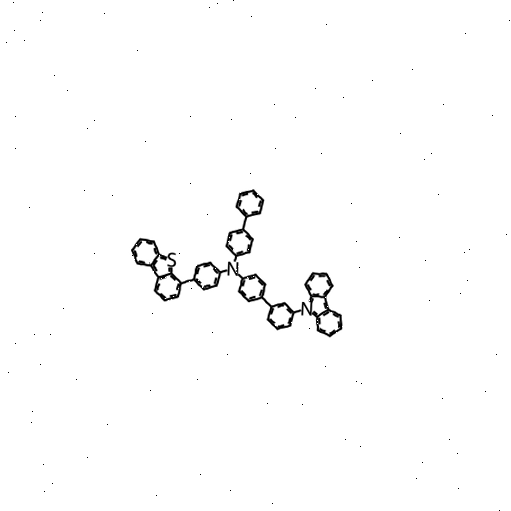 c1ccc(-c2ccc(N(c3ccc(-c4cccc(-n5c6ccccc6c6ccccc65)c4)cc3)c3ccc(-c4cccc5c4sc4ccccc45)cc3)cc2)cc1